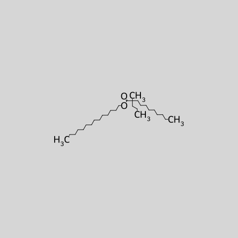 CCCCCCCCCCCCCCOC(=O)C(C)(CCC)CCCCCCCCC